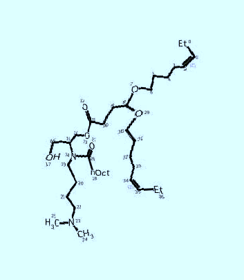 CC/C=C\CCCCOC(CCC(=O)OCC(CO)N(CCCCN(C)C)C(=O)CCCCCCCC)OCCCC/C=C\CC